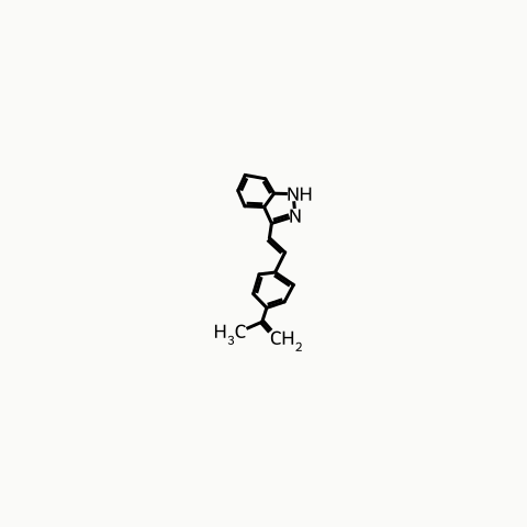 C=C(C)c1ccc(/C=C/c2n[nH]c3ccccc23)cc1